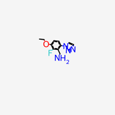 CCOc1ccc(-n2ccnn2)c(CN)c1F